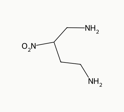 NCCC(CN)[N+](=O)[O-]